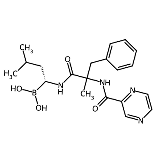 CC(C)C[C@H](NC(=O)C(C)(Cc1ccccc1)NC(=O)c1cnccn1)B(O)O